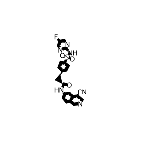 N#Cc1cncc2ccc(NC(=O)[C@@H]3C[C@H]3c3ccc(S(=O)(=O)Nc4ncc(F)cn4)cc3)cc12